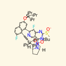 CC(C)[Si](C#Cc1c(F)ccc2cc(O[Si](C(C)C)(C(C)C)C(C)C)cc(-c3ncc4c(N5C[C@H]6CC[C@@H](C5)N6C(=O)OC(C)(C)C)nc([S+](C)[O-])nc4c3F)c12)(C(C)C)C(C)C